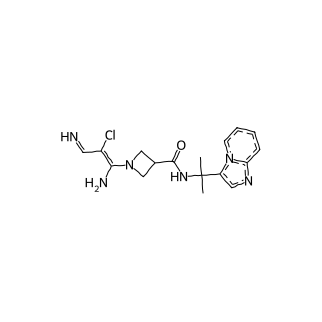 CC(C)(NC(=O)C1CN(/C(N)=C(\Cl)C=N)C1)c1cnc2ccccn12